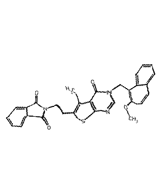 COc1ccc2ccccc2c1Cn1cnc2sc(CCN3C(=O)c4ccccc4C3=O)c(C)c2c1=O